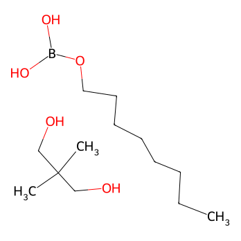 CC(C)(CO)CO.CCCCCCCCOB(O)O